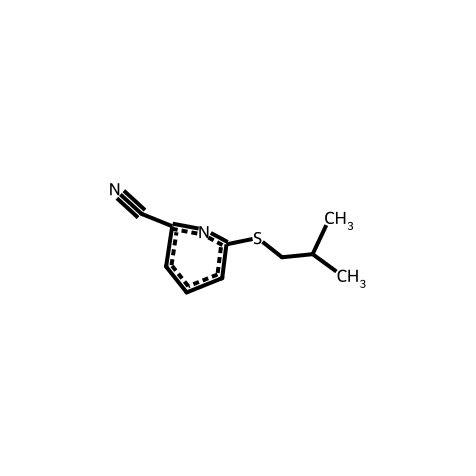 CC(C)CSc1cccc(C#N)n1